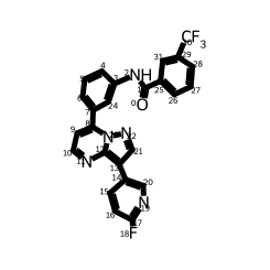 O=C(Nc1cccc(-c2ccnc3c(-c4ccc(F)nc4)cnn23)c1)c1cccc(C(F)(F)F)c1